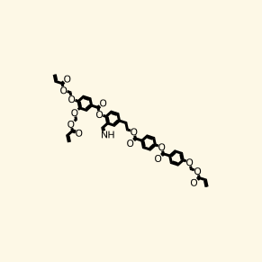 C=CC(=O)OCOc1ccc(C(=O)Oc2ccc(C(=O)OCCc3ccc(OC(=O)c4ccc(OCOC(=O)C=C)c(OCOC(=O)C=C)c4)c(C=N)c3)cc2)cc1